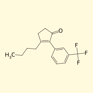 CCCCC1=C(c2cccc(C(F)(F)F)c2)C(=O)CC1